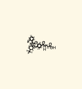 CC(C)(C)C1CCC2(CC1)N=C(c1ccccc1F)C(=O)N2Cc1ccc(C(=O)NCCC(=O)O)cc1